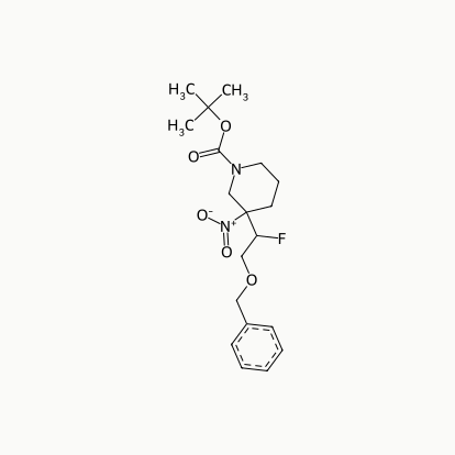 CC(C)(C)OC(=O)N1CCCC(C(F)COCc2ccccc2)([N+](=O)[O-])C1